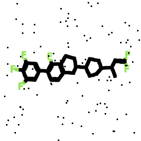 CC(C=C(F)F)C1CCC(C2CCc3c(ccc(-c4cc(F)c(F)c(F)c4)c3F)C2)CC1